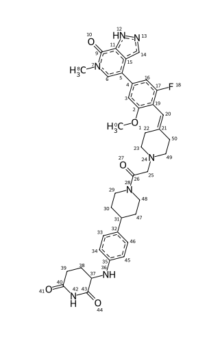 COc1cc(-c2cn(C)c(=O)c3[nH]ncc23)cc(F)c1C=C1CCN(CC(=O)N2CCC(c3ccc(NC4CCC(=O)NC4=O)cc3)CC2)CC1